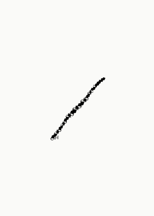 CCCCCCCCCCOCCOCCOCCOCCOCCOCCOCCOCCOCCOCCOCCOCCOCCO